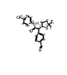 N#Cc1ccc(C(C(=O)Nc2cnc(Cl)cn2)C2CCC(F)(F)C2)cc1